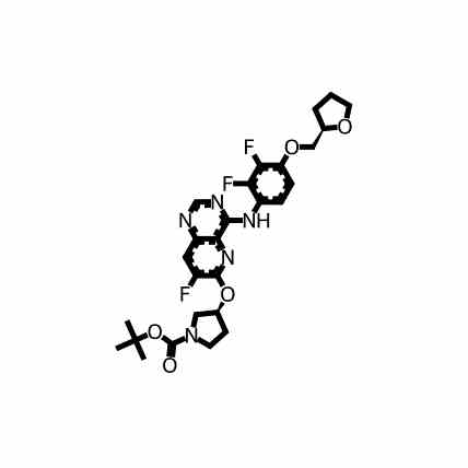 CC(C)(C)OC(=O)N1CC[C@H](Oc2nc3c(Nc4ccc(OC[C@H]5CCCO5)c(F)c4F)ncnc3cc2F)C1